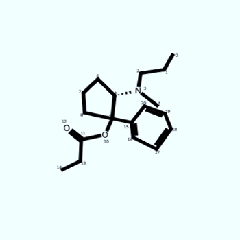 CCCN(C)[C@H]1CCCC1(OC(=O)CC)c1ccccc1